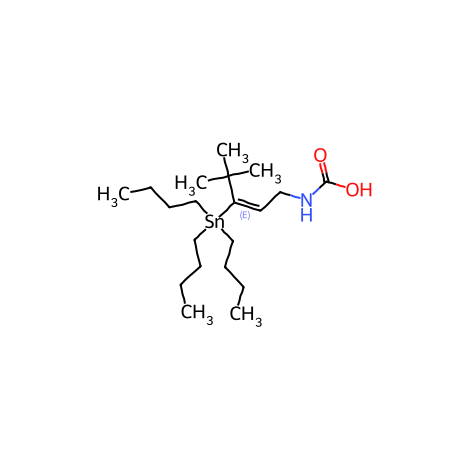 CCC[CH2][Sn]([CH2]CCC)([CH2]CCC)/[C](=C/CNC(=O)O)C(C)(C)C